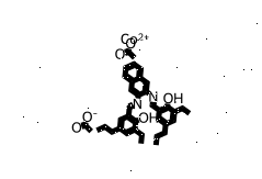 CC(=O)[O-].CC(=O)[O-].CCCc1cc(C=Nc2cc3ccccc3cc2N=Cc2cc(CCC)cc(CC)c2O)c(O)c(CC)c1.[Co+2]